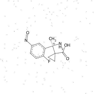 C[C@@](N)(c1cc(N=O)ccc1F)C1(C(=O)O)CC1